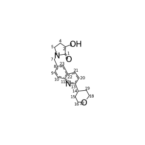 O=C1C(O)CCN1Cc1ccc2nc(C3CCOCC3)ccc2c1